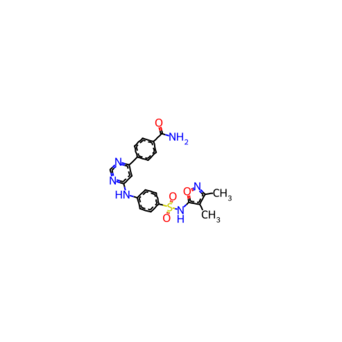 Cc1noc(NS(=O)(=O)c2ccc(Nc3cc(-c4ccc(C(N)=O)cc4)ncn3)cc2)c1C